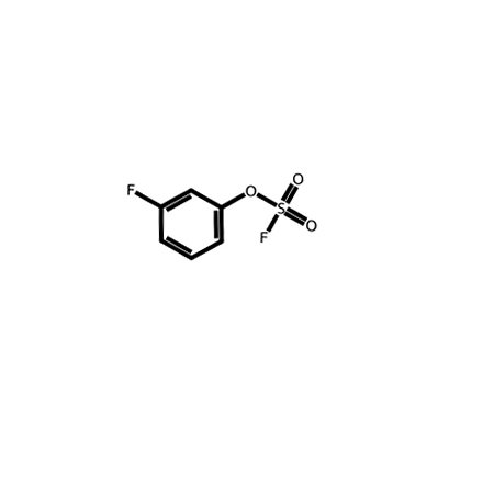 O=S(=O)(F)Oc1cccc(F)c1